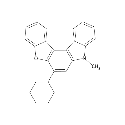 Cn1c2ccccc2c2c3c(oc4ccccc43)c(C3CCCCC3)cc21